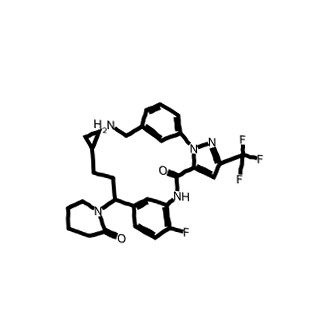 NCc1cccc(-n2nc(C(F)(F)F)cc2C(=O)Nc2cc(C(CCC3CC3)N3CCCCC3=O)ccc2F)c1